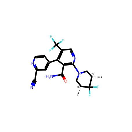 C[C@@H]1CN(c2ncc(C(F)(F)F)c(-c3ccnc(C#N)c3)c2C(N)=O)C[C@H](C)C1(F)F